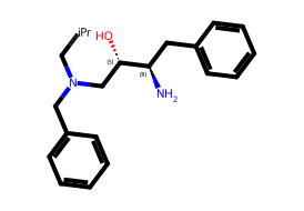 CC(C)CN(Cc1ccccc1)C[C@H](O)[C@H](N)Cc1ccccc1